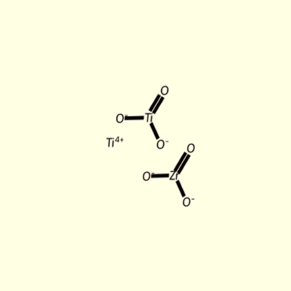 [O]=[Ti]([O-])[O-].[O]=[Zr]([O-])[O-].[Ti+4]